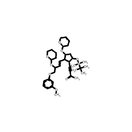 COc1cccc(OCC(C=CC2C(OC3CCCCO3)CC(O[Si](C)(C)C(C)(C)C)C2C#CC(C)=O)OC2CCCCO2)c1